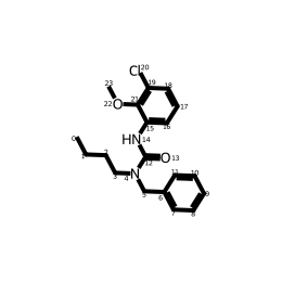 CCCCN(Cc1ccccc1)C(=O)Nc1cccc(Cl)c1OC